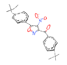 CC(C)(C)c1ccc(C(=O)c2noc(-c3ccc(C(C)(C)C)cc3)c2[N+](=O)[O-])cc1